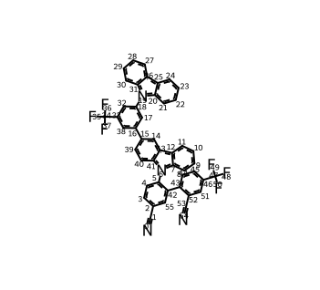 N#Cc1ccc(-n2c3ccccc3c3cc(-c4cc(-n5c6ccccc6c6ccccc65)cc(C(F)(F)F)c4)ccc32)c(-c2ccc(C(F)(F)F)cc2C#N)c1